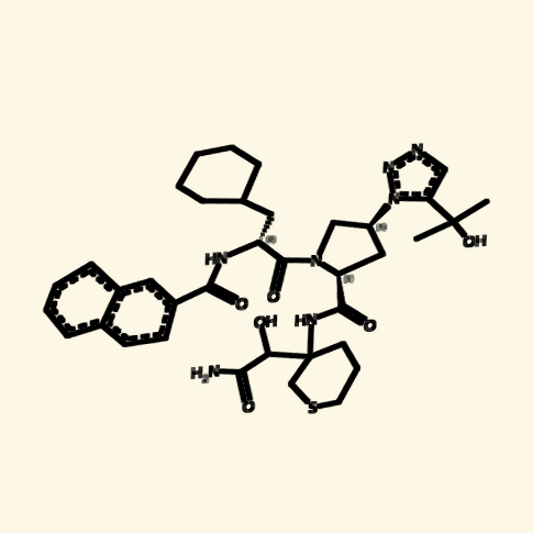 CC(C)(O)c1cnnn1[C@H]1C[C@@H](C(=O)NC2(C(O)C(N)=O)CCCSC2)N(C(=O)[C@@H](CC2CCCCC2)NC(=O)c2ccc3ccccc3c2)C1